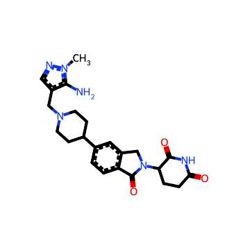 Cn1ncc(CN2CCC(c3ccc4c(c3)CN(C3CCC(=O)NC3=O)C4=O)CC2)c1N